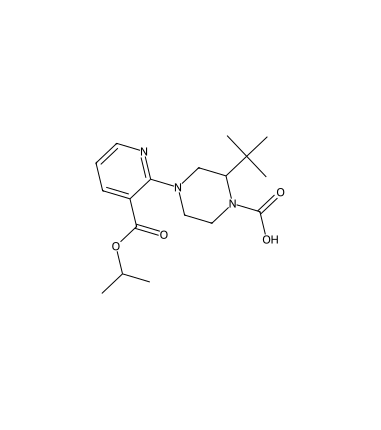 CC(C)OC(=O)c1cccnc1N1CCN(C(=O)O)C(C(C)(C)C)C1